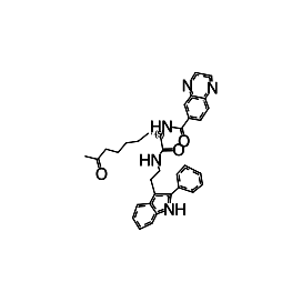 CC(=O)CCCCC[C@H](NC(=O)c1ccc2nccnc2c1)C(=O)NCCc1c(-c2ccccc2)[nH]c2ccccc12